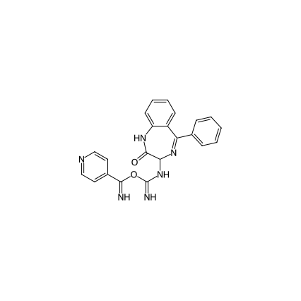 N=C(NC1N=C(c2ccccc2)c2ccccc2NC1=O)OC(=N)c1ccncc1